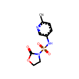 N#Cc1ccc(NS(=O)(=O)N2CCOC2=O)cn1